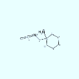 NC1(CN=C=O)CCCCC1